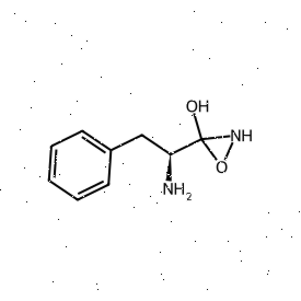 N[C@@H](Cc1ccccc1)C1(O)NO1